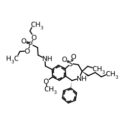 CCCC[C@]1(CC)CS(=O)(=O)c2cc(CNCCP(=O)(OCC)OCC)c(OC)cc2[C@@H](c2ccccc2)N1